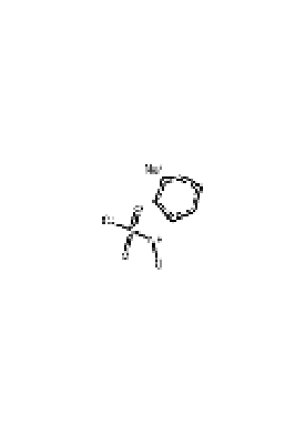 O=S(=O)([O-])NCl.[Na+].c1ccccc1